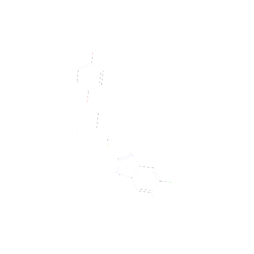 Oc1ccc(OC[C@@H](O)CSc2nc3cc(Cl)c(Cl)cc3[nH]2)cc1